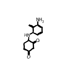 C=C1C(N)=CC=CC1NC1CCC(=O)CC1=O